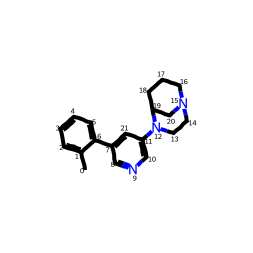 Cc1ccccc1-c1cncc(N2CCN3CCCC2C3)c1